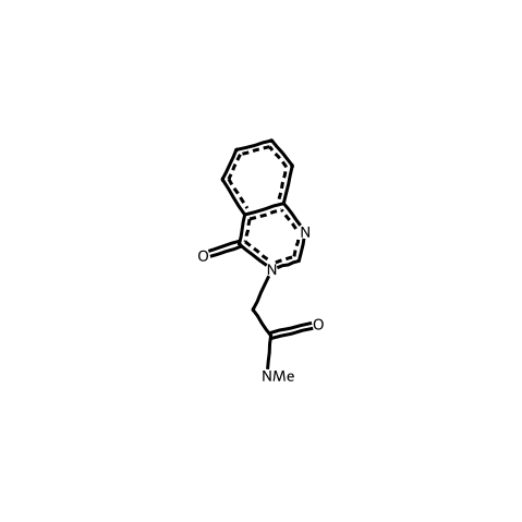 CNC(=O)Cn1cnc2ccccc2c1=O